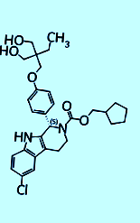 CCC(CO)(CO)COc1ccc([C@H]2c3[nH]c4ccc(Cl)cc4c3CCN2C(=O)OCC2CCCC2)cc1